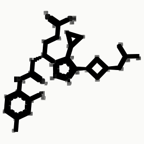 Cc1ccc(NC(=O)C[C@H](CCC(=O)O)n2nnc([C@H]3C[C@@H](CC(C)C)C3)c2C2CC2)c(Cl)c1